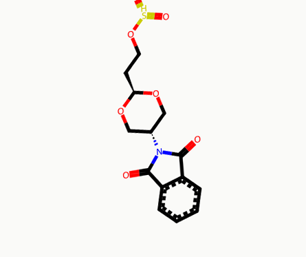 O=C1c2ccccc2C(=O)N1[C@H]1CO[C@H](CCO[SH](=O)=O)OC1